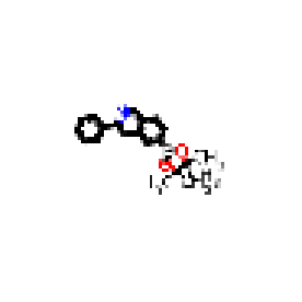 CC1(C)OB(c2ccc3cnc(-c4ccccc4)cc3c2)OC1(C)C